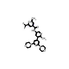 C=C/C=C(\C=C(/C)C(F)F)C(=O)Nc1cnc(C)c(-c2cc(N3CCOCC3)nc(N3CCOCC3)c2)c1